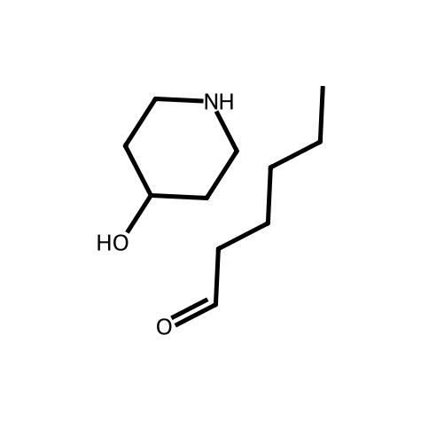 CCCCCC=O.OC1CCNCC1